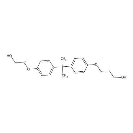 CC(C)(c1ccc(OCCO)cc1)c1ccc(OCCCO)cc1